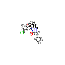 COC(C)(CNC(=O)[C@H]1C[C@@H]1c1ccccc1)c1cccc(Cl)c1